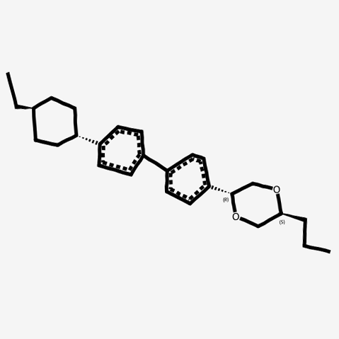 CCC[C@H]1CO[C@H](c2ccc(-c3ccc([C@H]4CC[C@H](CC)CC4)cc3)cc2)CO1